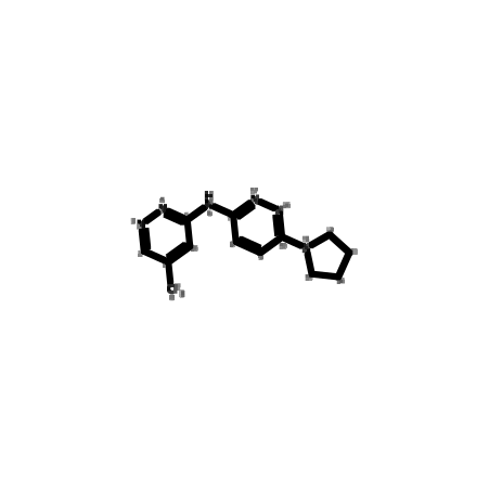 FC(F)(F)c1cnnc(Nc2ccc(N3CCCC3)nn2)c1